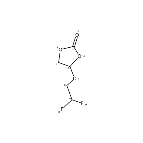 O=C1OCC(OCC(F)F)O1